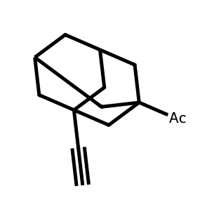 C#CC12CC3CC(C1)CC(C(C)=O)(C3)C2